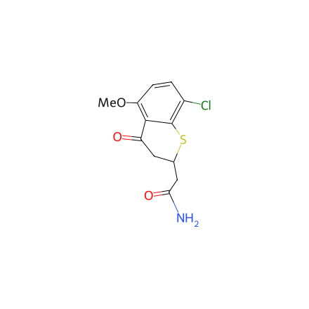 COc1ccc(Cl)c2c1C(=O)CC(CC(N)=O)S2